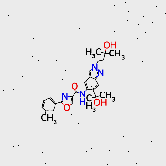 Cc1cccc(-c2nc(C(=O)Nc3cc4cn(CCC(C)(C)O)nc4cc3C(C)(C)O)co2)c1